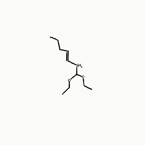 CCCC=C[SiH2]C(OCC)OCC